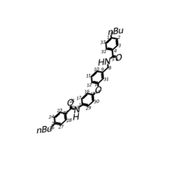 CCCCc1ccc(C(=O)NCc2cccc(Oc3ccc(NC(=O)c4ccc(CCCC)cc4)cc3)c2)cc1